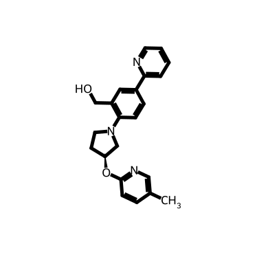 Cc1ccc(O[C@H]2CCN(c3ccc(-c4ccccn4)cc3CO)C2)nc1